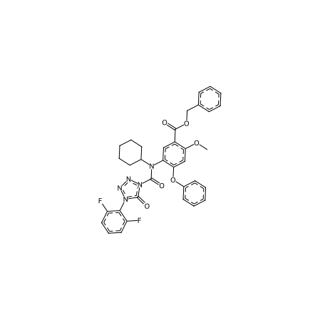 COc1cc(Oc2ccccc2)c(N(C(=O)n2nnn(-c3c(F)cccc3F)c2=O)C2CCCCC2)cc1C(=O)OCc1ccccc1